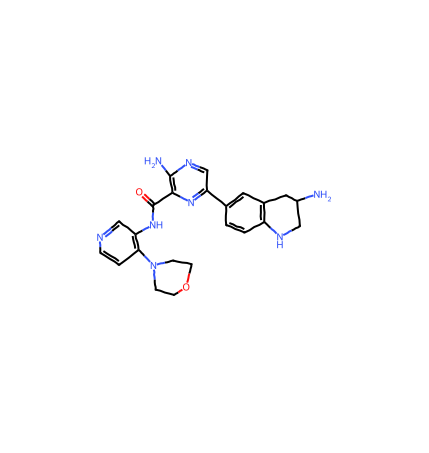 Nc1ncc(-c2ccc3c(c2)CC(N)CN3)nc1C(=O)Nc1cnccc1N1CCOCC1